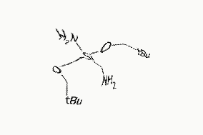 CC(C)(C)O[Si](N)(N)OC(C)(C)C